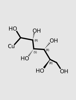 OC[C@@H](O)[C@@H](O)[C@H](O)[C@@H](O)[CH](O)[Cu]